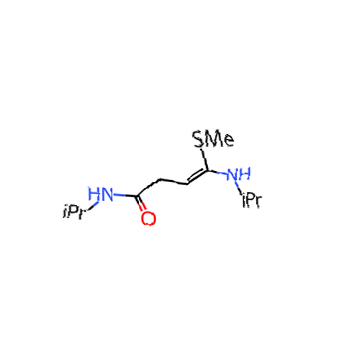 CS/C(=C\CC(=O)NC(C)C)NC(C)C